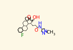 Cn1cc(NC(=O)CC[C@@H]2/C(=C/O)C(=O)[C@@]3(C)CCC4c5cccc(F)c5CCC4C23)cn1